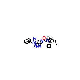 C[C@@H](c1ccccc1)N(C)CC(=O)N1CCc2c(ncnc2NCC2C3CC4CC(C3)CC2C4)C1